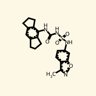 Cc1noc2cc(NS(=O)(=O)NC(=O)Nc3c4c(cc5c3CCC5)CCC4)ccc12